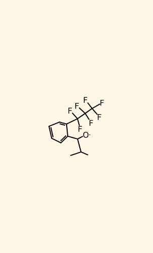 CC(C)C([O])c1ccccc1C(F)(F)C(F)(F)C(F)(F)F